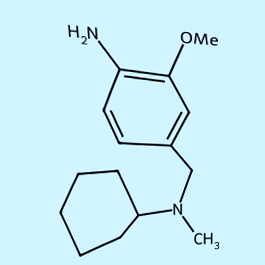 COc1cc(CN(C)C2CCCCC2)ccc1N